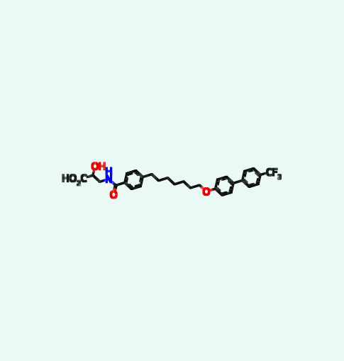 O=C(NCC(O)C(=O)O)c1ccc(CCCCCCCOc2ccc(-c3ccc(C(F)(F)F)cc3)cc2)cc1